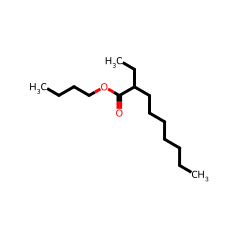 CCCCCCCC(CC)C(=O)OCCCC